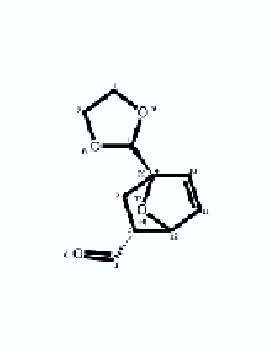 O=C[C@@H]1C[C@]2(C3OCCO3)C=CC1O2